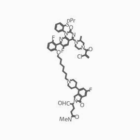 C=C(Cl)C(=O)N1CCN(c2nc(=O)n(-c3ccccc3SCCC)c3nc(-c4c(F)cccc4OCCCCCCCN4CCC(c5cc(F)cc6c5CN(C(C=O)CCC(=O)NC)C6=O)CC4)c(F)cc23)C(C)C1